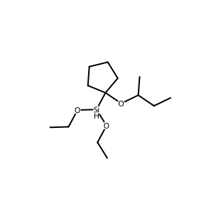 CCO[SiH](OCC)C1(OC(C)CC)CCCC1